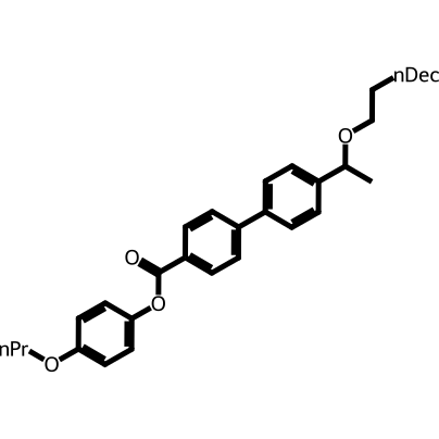 CCCCCCCCCCCCOC(C)c1ccc(-c2ccc(C(=O)Oc3ccc(OCCC)cc3)cc2)cc1